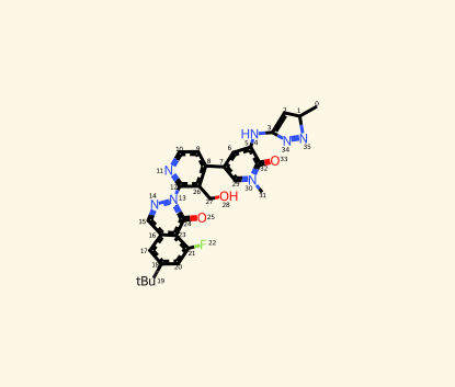 CC1C=C(Nc2cc(-c3ccnc(-n4ncc5cc(C(C)(C)C)cc(F)c5c4=O)c3CO)cn(C)c2=O)N=N1